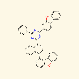 c1ccc(-c2nc(C3=c4ccccc4=C(c4cccc5oc6ccccc6c45)CC3)nc(-c3ccc4c(c3)oc3ccccc34)n2)cc1